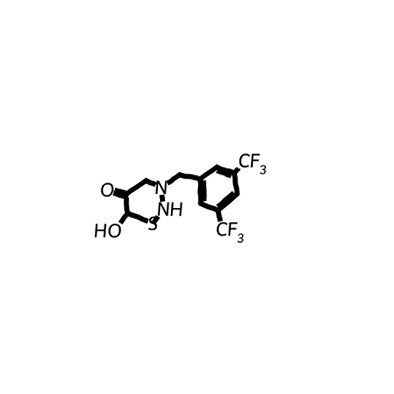 O=C1CN(Cc2cc(C(F)(F)F)cc(C(F)(F)F)c2)NSC1O